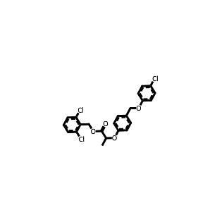 CC(Oc1ccc(COc2ccc(Cl)cc2)cc1)C(=O)OCc1c(Cl)cccc1Cl